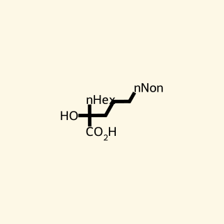 CCCCCCCCCCCCC(O)(CCCCCC)C(=O)O